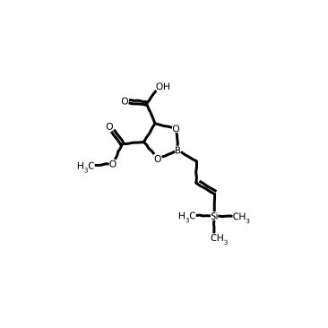 COC(=O)C1OB(CC=C[Si](C)(C)C)OC1C(=O)O